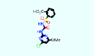 COc1cc(Cl)nc(NC(=O)NS(=O)(=O)c2ccccc2C(=O)O)n1